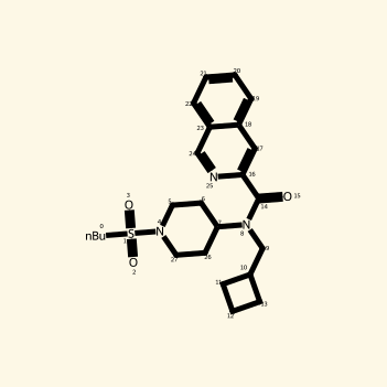 CCCCS(=O)(=O)N1CCC(N(CC2CCC2)C(=O)c2cc3ccccc3cn2)CC1